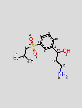 CCC(CC)CS(=O)(=O)c1cccc(C(O)CCN)c1